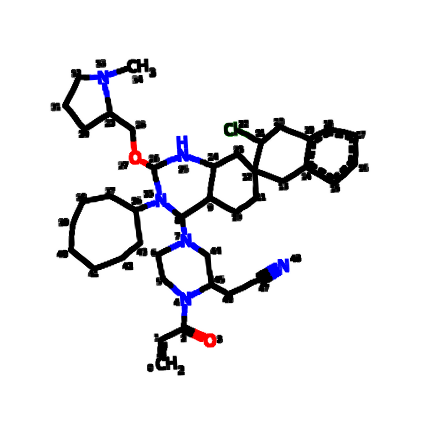 C=CC(=O)N1CCN(C2C3CCC4(Cc5ccccc5CC4Cl)CC3NC(OCC3CCCN3C)N2C2CCCCCCC2)CC1CC#N